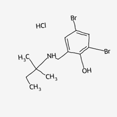 CCC(C)(C)NCc1cc(Br)cc(Br)c1O.Cl